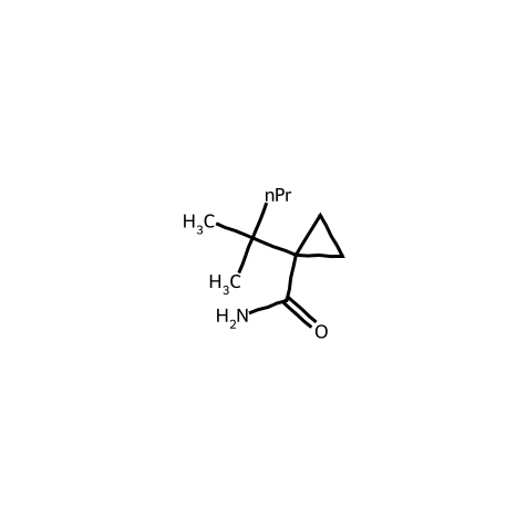 CCCC(C)(C)C1(C(N)=O)CC1